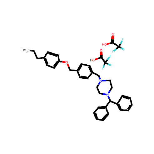 O=C(O)C(F)(F)F.O=C(O)C(F)(F)F.O=C(O)CCc1ccc(OCc2ccc(CN3CCN(C(c4ccccc4)c4ccccc4)CC3)cc2)cc1